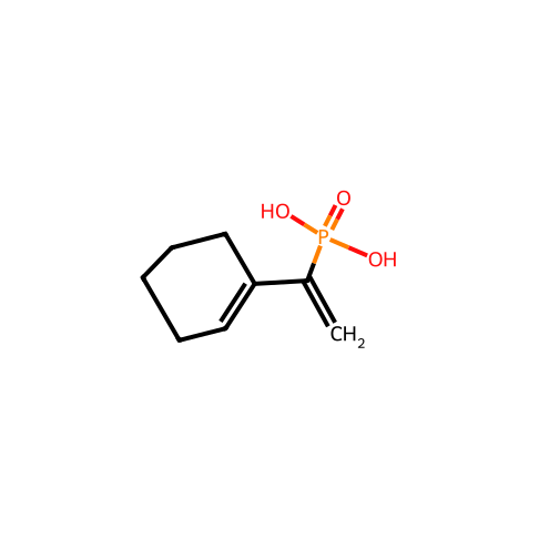 C=C(C1=CCCCC1)P(=O)(O)O